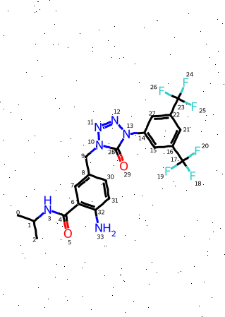 CC(C)NC(=O)c1cc(Cn2nnn(-c3cc(C(F)(F)F)cc(C(F)(F)F)c3)c2=O)ccc1N